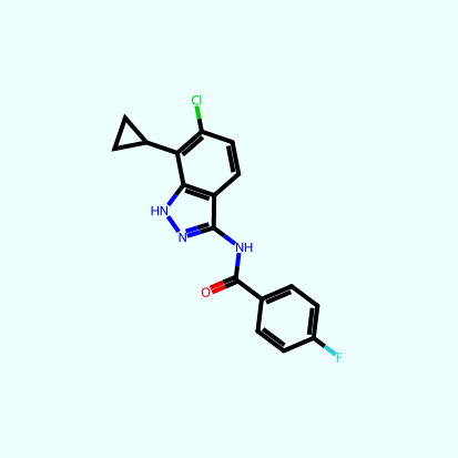 O=C(Nc1n[nH]c2c(C3CC3)c(Cl)ccc12)c1ccc(F)cc1